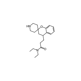 CCN(CC)C(=O)CCC1CC2(CCNCC2)Oc2ccccc21